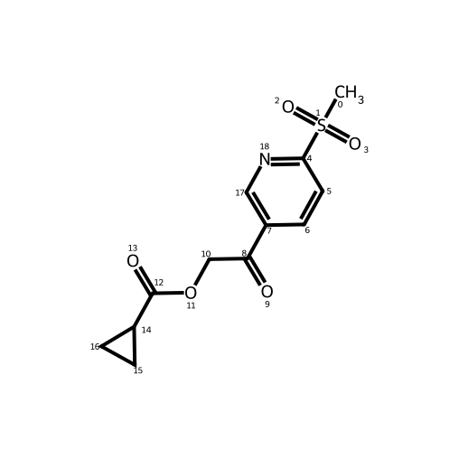 CS(=O)(=O)c1ccc(C(=O)COC(=O)C2CC2)cn1